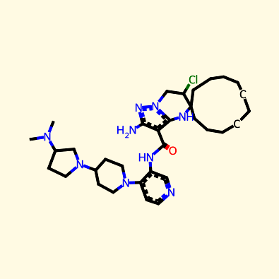 CN(C)C1CCN(C2CCN(c3ccncc3NC(=O)c3c(N)nn4c3NC3(CCCCCCCCCC3)C(Cl)C4)CC2)C1